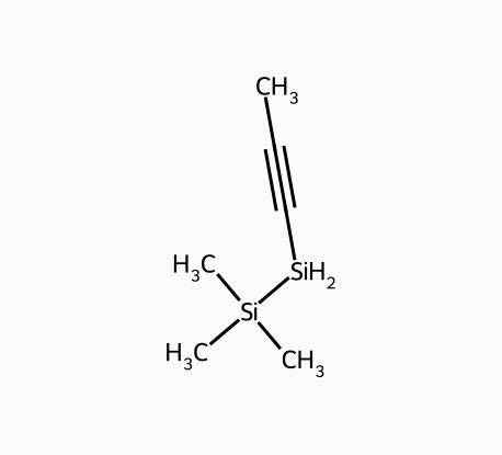 CC#C[SiH2][Si](C)(C)C